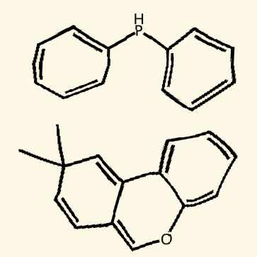 CC1(C)C=CC2=COc3ccccc3C2=C1.c1ccc(Pc2ccccc2)cc1